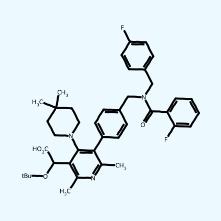 Cc1nc(C)c(C(OC(C)(C)C)C(=O)O)c(N2CCC(C)(C)CC2)c1-c1ccc(CN(Cc2ccc(F)cc2)C(=O)c2ccccc2F)cc1